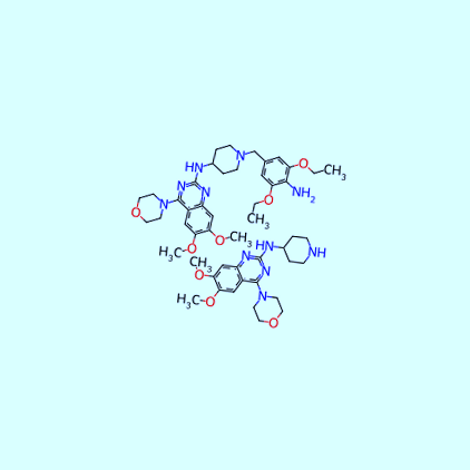 CCOc1cc(CN2CCC(Nc3nc(N4CCOCC4)c4cc(OC)c(OC)cc4n3)CC2)cc(OCC)c1N.COc1cc2nc(NC3CCNCC3)nc(N3CCOCC3)c2cc1OC